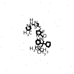 Cc1ccnc(Nc2ncc(Sc3ccnc(C(=O)NCC(CNC(C)(C)C)(c4ccccc4)c4ccccc4)c3F)s2)c1